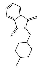 O=C1c2ccccc2C(=O)N1CC1CCC(F)CC1